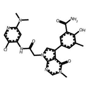 Cc1cc(-c2cn(CC(=O)Nc3cc(N(C)C)ncc3Cl)c3ncn(C)c(=O)c23)cc(C(N)=O)c1O